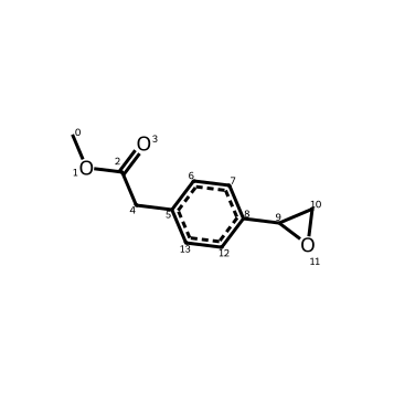 COC(=O)Cc1ccc(C2CO2)cc1